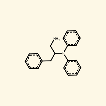 NCC(Cc1ccccc1)P(c1ccccc1)c1ccccc1